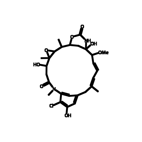 COC1/C=C/C=C(\C)Cc2cc(O)c(Cl)c(c2)N(C)C(=O)CC(O)C2(C)OC2C(C)C2CC1(O)NC(=O)O2